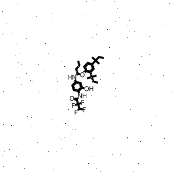 CCCC(Nc1ccc(NC(=O)C(F)(F)C(F)F)c(O)c1)Oc1ccc(C(C)(C)CC)cc1C(C)(C)CC